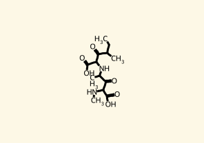 CCC(C)C(=O)C(NC(C)C(=O)C(NC)C(=O)O)C(=O)O